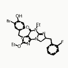 CCOc1nc2c(n1Cc1ccc(O)c(Br)c1)C(=O)N(CC)C1=NC(Cc3ccccc3F)CN12